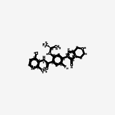 Cc1nccc(Cl)c1NC(=O)c1cc(F)c(-n2nc3n(c2=O)CCOC3)cc1O[C@@H](C)C(F)(F)F